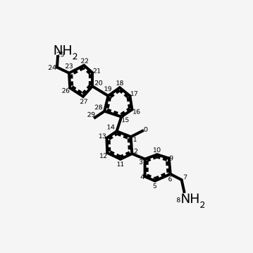 Cc1c(-c2ccc(CN)cc2)cccc1-c1cccc(-c2ccc(CN)cc2)c1C